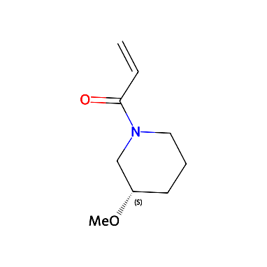 C=CC(=O)N1CCC[C@H](OC)C1